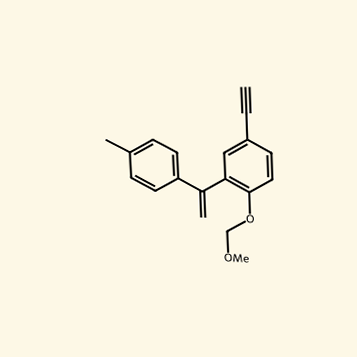 C#Cc1ccc(OCOC)c(C(=C)c2ccc(C)cc2)c1